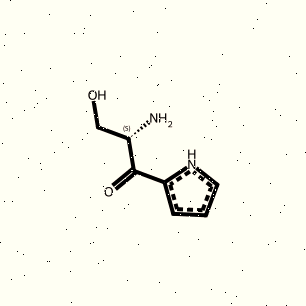 N[C@@H](CO)C(=O)c1ccc[nH]1